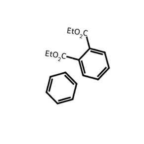 CCOC(=O)c1ccccc1C(=O)OCC.c1ccccc1